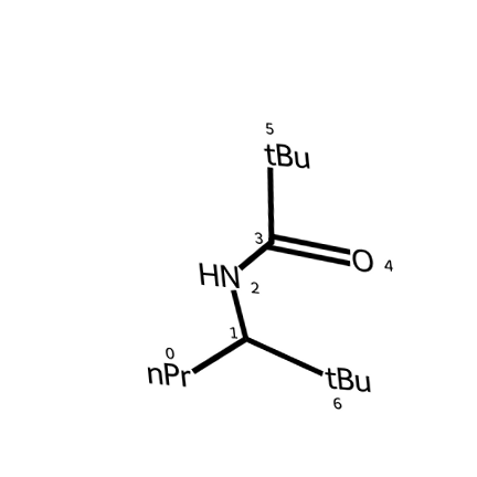 CCCC(NC(=O)C(C)(C)C)C(C)(C)C